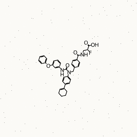 O=C(NCC(F)C(=O)O)c1ccc(CN(C(=O)Nc2cccc(Oc3ccccc3)c2)c2ccc(C3=CCCCC3)cc2)cc1